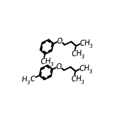 Cc1ccc(OCCC(C)C)cc1.Cc1cccc(OCCC(C)C)c1